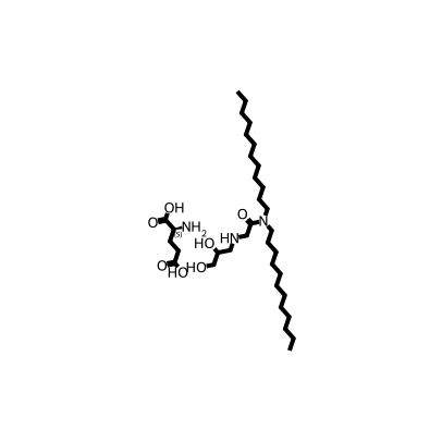 CCCCCCCCCCCCN(CCCCCCCCCCCC)C(=O)CNCC(O)CO.N[C@@H](CCC(=O)O)C(=O)O